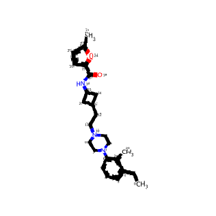 CCc1cccc(N2CCN(CCC3CC(NC(=O)c4ccc(C)o4)C3)CC2)c1C